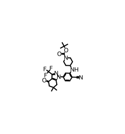 CC1(C)CC(=O)c2c(C(F)(F)F)nn(-c3ccc(C#N)c(NC4CCN(C(=O)OC(C)(C)C)CC4)c3)c2C1